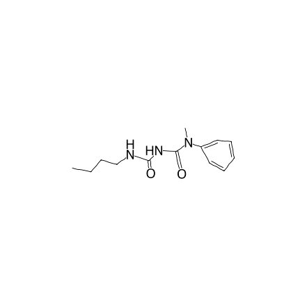 CCCCNC(=O)NC(=O)N(C)c1ccccc1